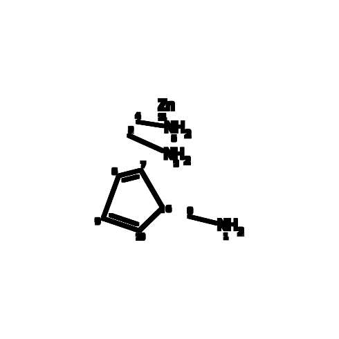 CN.CN.CN.[CH]1C=CC=C1.[Zn]